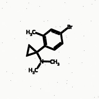 Cc1cc(Br)ccc1C1(N(C)C)CC1